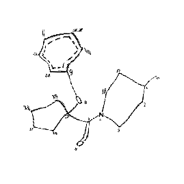 CC1CCN(C(=O)C2(Oc3ccccc3)CCCC2)CC1